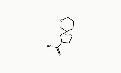 O=C(O)N1CC[C@]2(CCCOC2)C1